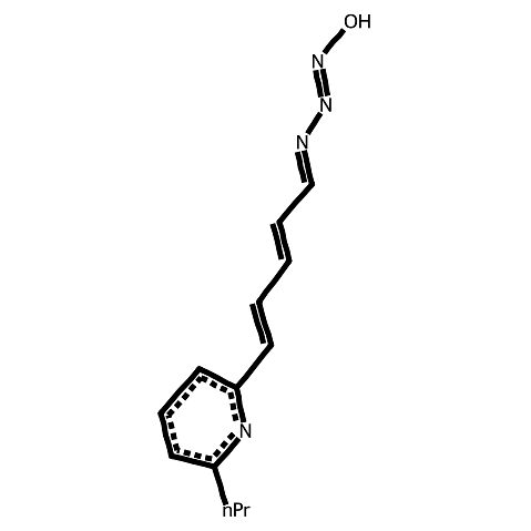 CCCc1cccc(/C=C/C=C/C=N/N=N/O)n1